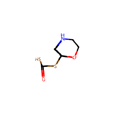 O=C(S)SC1CNCCO1